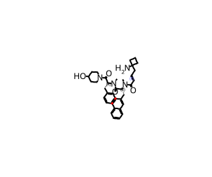 CN(C(=O)/C=C/CC1(N)CCC1)[C@H](Cc1ccc2ccccc2c1)C(=O)N(C)[C@H](Cc1ccccc1)C(=O)N1CCC(O)CC1